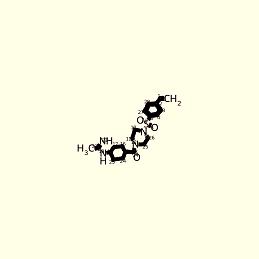 C=Cc1ccc(S(=O)(=O)N2CCN(C(=O)C3CCC(NC(C)=N)CC3)CC2)cc1